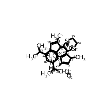 CC1=CC(C)[C]([Zr+2]2([CH]3C(C)=Cc4c(C(C)C)cc(C(C)C)cc43)=[Si]3CC[Si]=2CC3)=C1C.[Cl-].[Cl-]